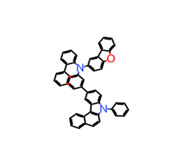 c1ccc(-c2ccccc2N(c2cccc(-c3ccc4c(c3)c3c5ccccc5ccc3n4-c3ccccc3)c2)c2ccc3oc4ccccc4c3c2)cc1